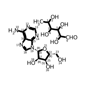 CC(O)C(O)C(O)C(O)C=O.Nc1ncnc2c1ncn2[C@@H]1O[C@H](CO)[C@@H](O)[C@H]1O